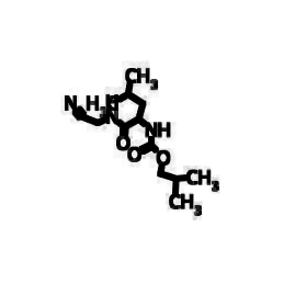 CC(C)COC(=O)NC(CC(C)C)C(=O)NCC#N